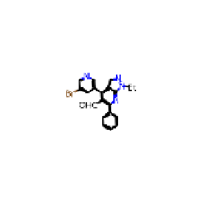 CCn1ncc2c(-c3cncc(Br)c3)c(C=O)c(-c3ccccc3)nc21